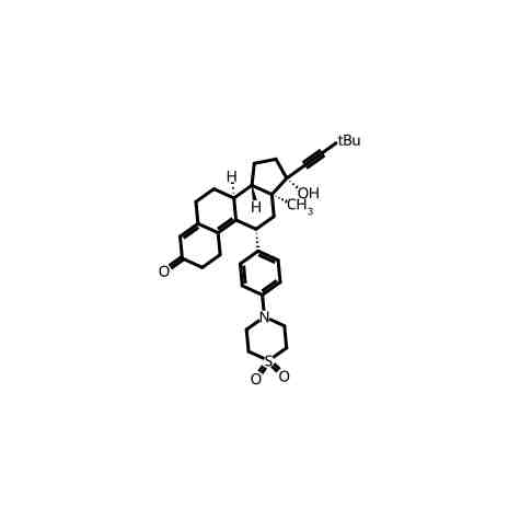 CC(C)(C)C#C[C@]1(O)CC[C@H]2[C@@H]3CCC4=CC(=O)CCC4=C3[C@@H](c3ccc(N4CCS(=O)(=O)CC4)cc3)C[C@@]21C